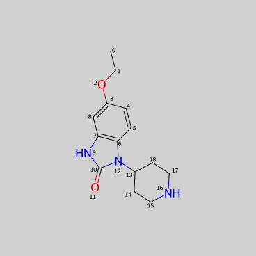 CCOc1ccc2c(c1)[nH]c(=O)n2C1CCNCC1